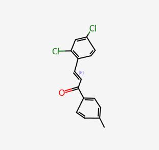 Cc1ccc(C(=O)/C=C/c2ccc(Cl)cc2Cl)cc1